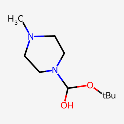 CN1CCN(C(O)OC(C)(C)C)CC1